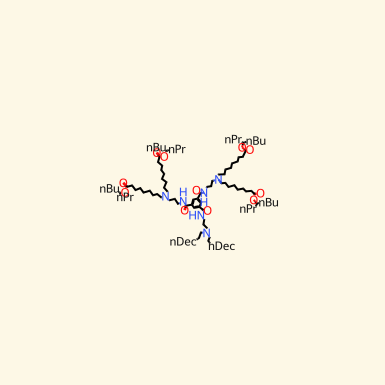 CCCCCCCCCCCCN(CCCCCCCCCCCC)CCCNC(=O)c1cc(C(=O)NCCCN(CCCCCCCCC(=O)OC(CCC)CCCC)CCCCCCCCC(=O)OC(CCC)CCCC)cc(C(=O)NCCCN(CCCCCCCCC(=O)OC(CCC)CCCC)CCCCCCCCC(=O)OC(CCC)CCCC)c1